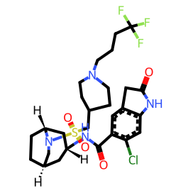 O=C1Cc2cc(C(=O)N[C@@H]3C[C@H]4CC[C@H](C3)N(S(=O)(=O)CC3CCN(CCCC(F)(F)F)CC3)C4)c(Cl)cc2N1